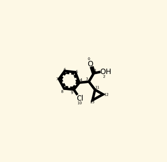 O=C(O)C(c1ccccc1Cl)C1CC1